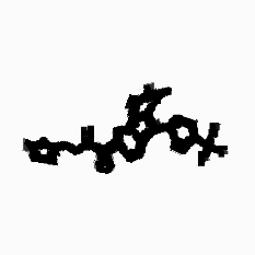 Cn1nnc2c3cc(C(=O)NCCn4ccnc4)ccc3n(-c3ccc(C(F)(F)F)cc3)c21